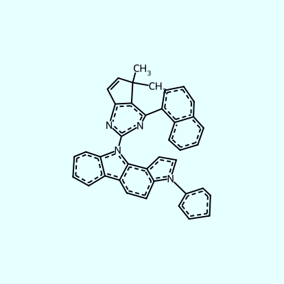 CC1(C)C=Cc2nc(-n3c4ccccc4c4ccc5c(ccn5-c5ccccc5)c43)nc(-c3cccc4ccccc34)c21